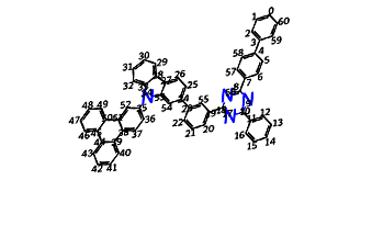 c1ccc(-c2ccc(-c3nc(-c4ccccc4)nc(-c4cccc(-c5ccc6c7ccccc7n(-c7ccc8c9ccccc9c9ccccc9c8c7)c6c5)c4)n3)cc2)cc1